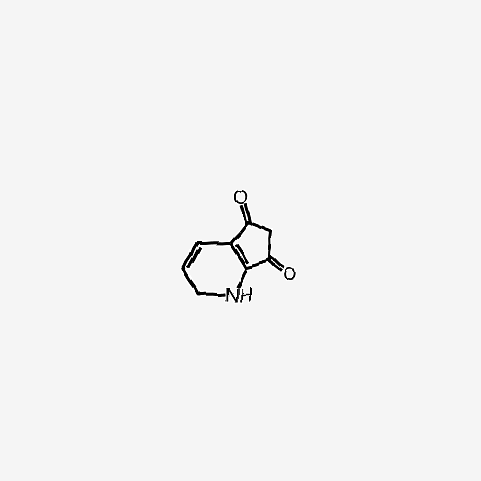 O=C1CC(=O)C2=C1C=CCN2